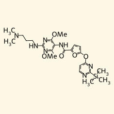 COc1nc(NCCCN(C)C)nc(OC)c1NC(=O)c1ccc(Oc2ccnc([Si](C)(C)C)n2)o1